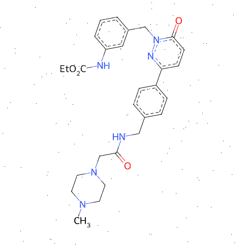 CCOC(=O)Nc1cccc(Cn2nc(-c3ccc(CNC(=O)CN4CCN(C)CC4)cc3)ccc2=O)c1